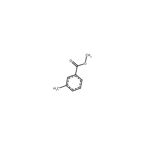 COC(=O)c1[c]ccc(C)c1